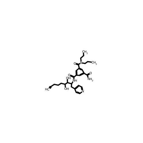 C#CCCCC(O)C(O)C(Cc1ccncc1)NC(=O)c1cc(C(N)=O)cc(C(=O)N(CCC)CCC)c1